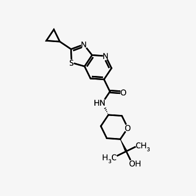 CC(C)(O)[C@H]1CC[C@H](NC(=O)c2cnc3nc(C4CC4)sc3c2)CO1